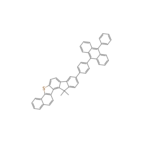 CC1(C)c2ccc(-c3ccc(-c4c5ccccc5c(-c5ccccc5)c5ccccc45)cc3)cc2-c2ccc3sc4c5ccccc5ccc4c3c21